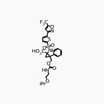 CC(C)OCCNC(=O)OCC1(c2ccccc2)CC1(NS(=O)(=O)c1ccc(-c2cc(C(F)(F)F)on2)s1)C(=O)O